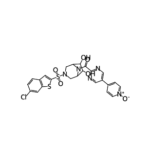 O=C(c1ncc(-c2cc[n+]([O-])cc2)cn1)N1C2CN(S(=O)(=O)c3cc4ccc(Cl)cc4s3)CC1C(O)C2O